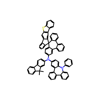 CC1(C)c2ccccc2-c2ccc(N(c3ccc4c(c3)-c3ccccc3-c3ccccc3N4c3ccccc3)c3ccc4c(c3)-c3ccccc3-c3ccccc3C43c4ccccc4-c4cc5sc6ccccc6c5cc43)cc21